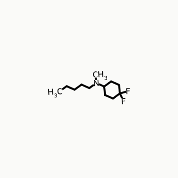 CCCCCN(C)C1CCC(F)(F)CC1